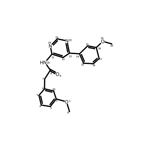 COc1cccc(CC(=O)Nc2cc(-c3cccc(OC)c3)ncn2)c1